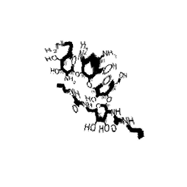 C=CCNC(=O)NCC1O[C@H](O[C@@H]2C(O)[C@H](O[C@@H]3C(O)[C@H](N)CC(N)[C@H]3O[C@H]3OC(CN)[C@@H](O)[C@H](O)C3N)O[C@@H]2CO)C(NC(=O)NCC=C)[C@H](O)[C@@H]1O